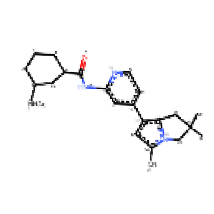 CC(=O)NC1CCCC(C(=O)Nc2cc(-c3cc(C#N)n4c3CC(C)(C)C4)ccn2)C1